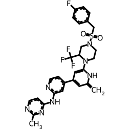 C=C1C=C(c2ccnc(Nc3ccnc(C)n3)c2)C=C(N2CCN(S(=O)(=O)Cc3ccc(F)cc3)CC2C(F)(F)F)N1